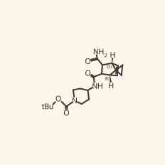 CC(C)(C)OC(=O)N1CCC(NC(=O)C2C(C(N)=O)[C@@H]3C=C[C@H]2C32CC2)CC1